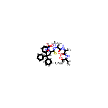 CCC(C)C(NC(=O)C(NC(S)C(CC(c1ccccc1)(c1ccccc1)c1ccccc1)NC(=O)OC(C)(C)C)C(C)C)C(=O)NC(CC(C)C)C(=O)OC